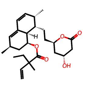 C=CC(C)(CC)C(=O)O[C@H]1C[C@@H](C)C=C2C=C[C@H](C)[C@H](CC[C@@H]3C[C@@H](O)CC(=O)O3)[C@H]21